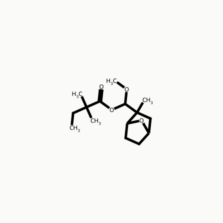 CCC(C)(C)C(=O)OC(OC)C1(C)CC2CCC1O2